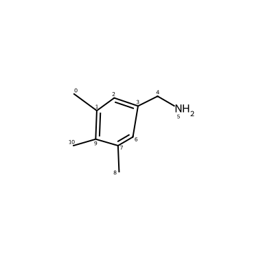 Cc1cc(CN)cc(C)c1C